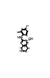 Cc1cc(F)ccc1Nc1ncc2c(n1)CNCC2.Cl